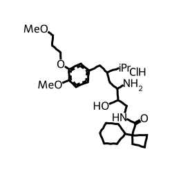 COCCCOc1cc(CC(CC(N)C(O)CNC(=O)C2(C3CCCCC3)CCC2)C(C)C)ccc1OC.Cl